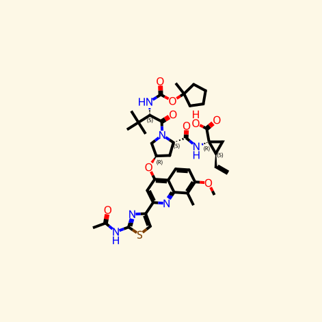 C=C[C@@H]1C[C@]1(NC(=O)[C@@H]1C[C@@H](Oc2cc(-c3csc(NC(C)=O)n3)nc3c(C)c(OC)ccc23)CN1C(=O)[C@@H](NC(=O)OC1(C)CCCC1)C(C)(C)C)C(=O)O